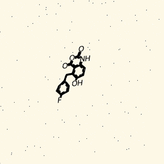 O=c1[nH]c2ccc(O)c(Cc3ccc(F)cc3)c2c(=O)o1